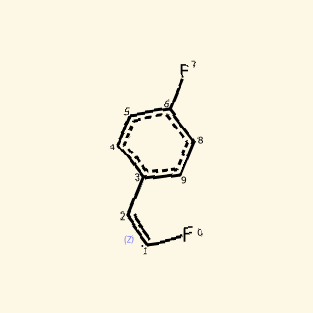 F/[C]=C\c1ccc(F)cc1